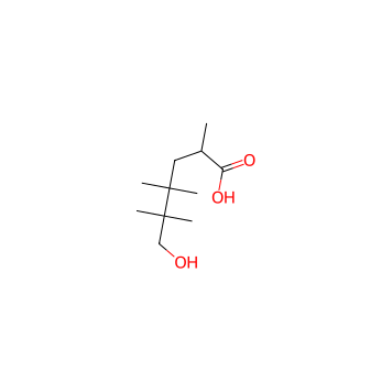 CC(CC(C)(C)C(C)(C)CO)C(=O)O